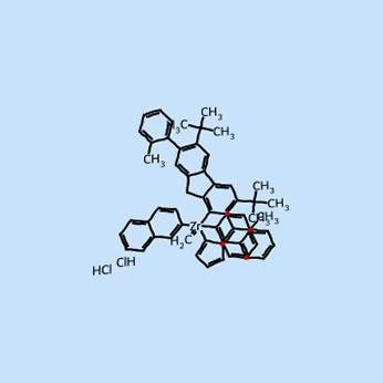 Cl.Cl.[CH2]=[Zr]([C]1=CC=CC1)([c]1ccc2ccccc2c1)([c]1ccc2ccccc2c1)[c]1c2c(cc(C(C)(C)C)c1-c1ccccc1C)-c1cc(C(C)(C)C)c(-c3ccccc3C)cc1C2